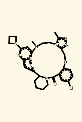 Cc1nnc2n1CCN(C)c1cc(N3CCC3)nc3cc(nn13)C1CCCCN1C(=O)c1cc(Cl)ccc1OC2